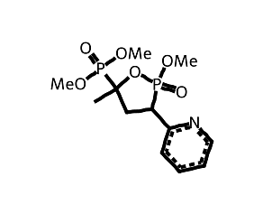 COP1(=O)OC(C)(P(=O)(OC)OC)CC1c1ccccn1